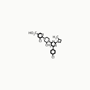 CC1CN(c2ncc(C(=O)O)cc2Cl)CCN1c1cc(-c2ccc(Cl)cc2)nc(N2CCC2C)n1